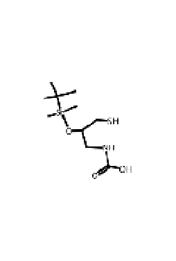 CC(C)(C)[Si](C)(C)OC(CS)CNC(=O)O